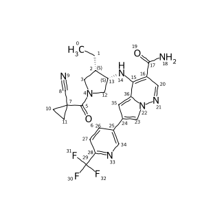 CC[C@H]1CN(C(=O)C2(C#N)CC2)C[C@H]1Nc1c(C(N)=O)cnn2cc(-c3ccc(C(F)(F)F)nc3)cc12